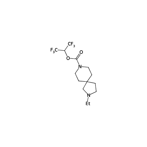 CCN1CCC2(CCN(C(=O)OC(C(F)(F)F)C(F)(F)F)CC2)C1